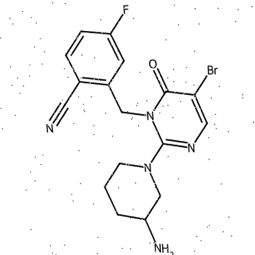 N#Cc1ccc(F)cc1Cn1c(N2CCCC(N)C2)ncc(Br)c1=O